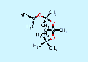 CCC[Si](C)O[Si](C)(C)O[Si](C)(C)O[Si](C)(C)C